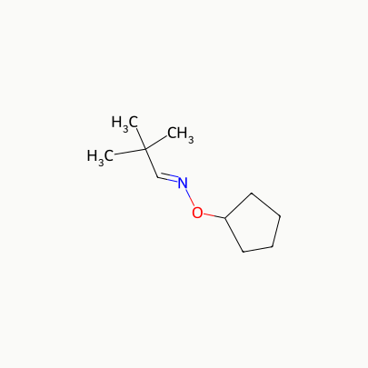 CC(C)(C)/C=N/OC1CCCC1